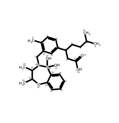 Cc1ccc(C(CCC(C)C)CC(=O)O)cc1CN1C(C)C(C)Oc2ccccc2S1(O)O